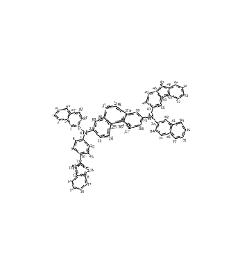 c1ccc2cc(N(c3ccc(-c4nc5ccccc5s4)cc3)c3ccc4c(ccc5cc(N(c6ccc7ccccc7c6)c6ccc7sc8ccccc8c7c6)ccc54)c3)ccc2c1